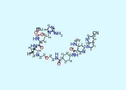 CC(C)Nc1cc(-n2ccc3cc(C#N)cnc32)ncc1C(=O)NC1CCC(C(=O)NCCOCCN2C[C@@H]3C[C@]3(NC(=O)[C@H](CCCn3ccnc3N)NC(=O)OC(C)(C)C)C2)CC1